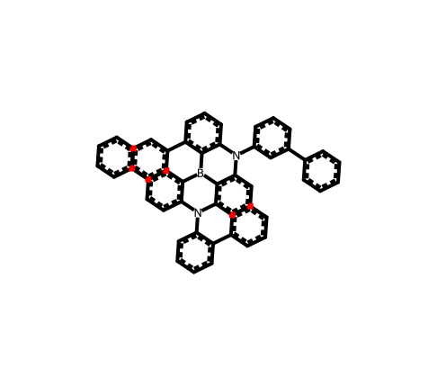 c1ccc(-c2cccc(N3c4cccc(-c5ccccc5)c4B4c5cc(-c6ccccc6)ccc5N(c5ccccc5-c5ccccc5)c5cccc3c54)c2)cc1